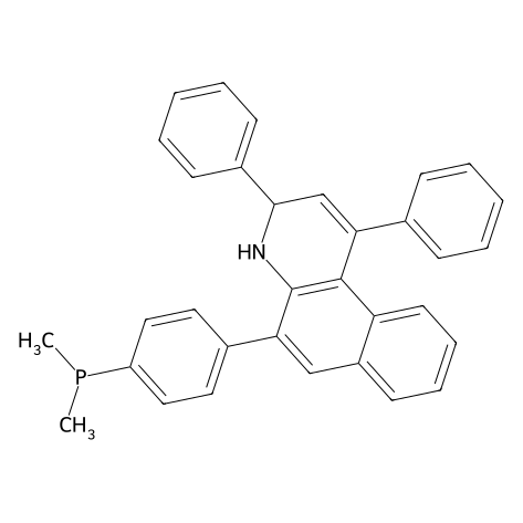 CP(C)c1ccc(-c2cc3ccccc3c3c2NC(c2ccccc2)C=C3c2ccccc2)cc1